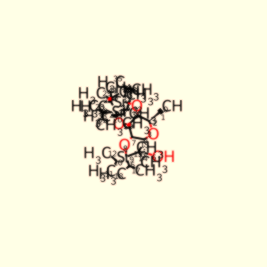 C#C[C@H]1O[C@H](CO)[C@@H](O[Si](C(C)C)(C(C)C)C(C)C)[C@@H](O[Si](C(C)C)(C(C)C)C(C)C)[C@@H]1O[Si](C(C)C)(C(C)C)C(C)C